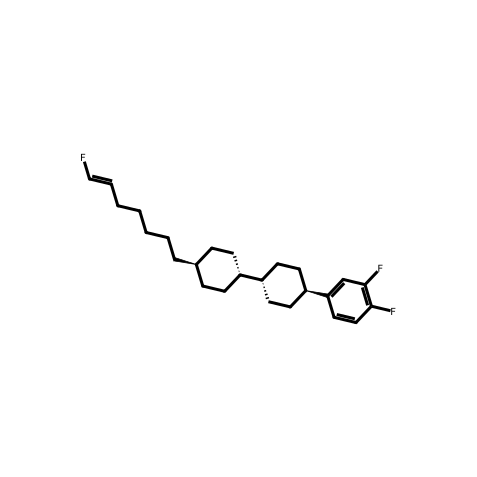 F/C=C/CCCCC[C@H]1CC[C@H]([C@H]2CC[C@H](c3ccc(F)c(F)c3)CC2)CC1